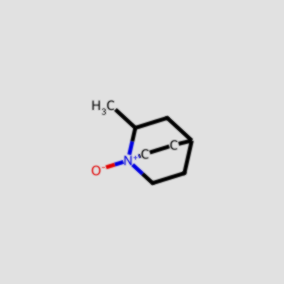 CC1CC2CC[N+]1([O-])CC2